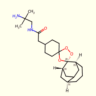 CC(C)(N)CNC(=O)CC1CCC2(CC1)OO[C@@]1(O2)[C@@H]2CC3C[C@@H]1CCC[C@H]3C2